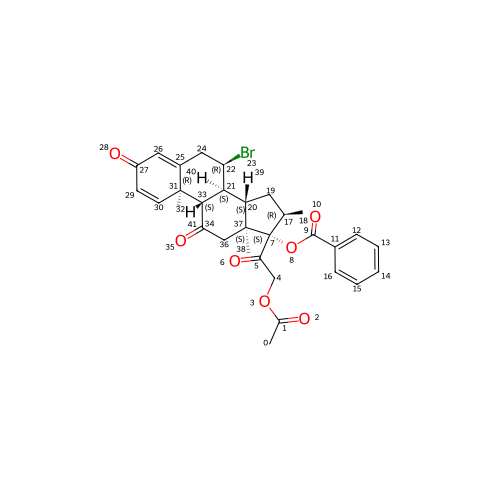 CC(=O)OCC(=O)[C@]1(OC(=O)c2ccccc2)[C@H](C)C[C@H]2[C@@H]3[C@H](Br)CC4=CC(=O)C=C[C@]4(C)[C@H]3C(=O)C[C@@]21C